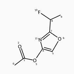 CC(=O)Oc1coc(C(C)F)n1